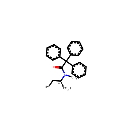 CC(C)C[C@H](C(=O)O)N(C)C(=O)C(c1ccccc1)(c1ccccc1)c1ccccc1